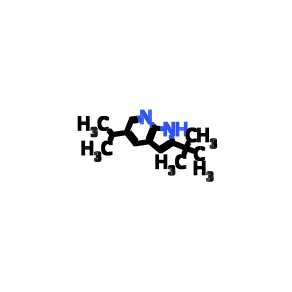 CC(C)c1cnc2[nH]c(C(C)(C)C)cc2c1